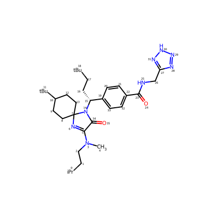 CC(C)CCN(C)C1=NC2(CCC(C(C)(C)C)CC2)N([C@H](CCC(C)(C)C)c2ccc(C(=O)NCc3nn[nH]n3)cc2)C1=O